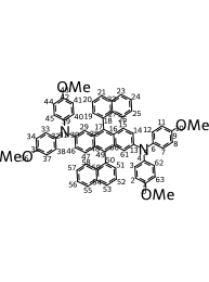 COc1ccc(N(c2ccc(OC)cc2)c2ccc3c(-c4cccc5ccccc45)c4cc(N(c5ccc(OC)cc5)c5ccc(OC)cc5)ccc4c(-c4cccc5ccccc45)c3c2)cc1